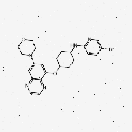 Brc1ccc(NC2CCC(Oc3cc(N4CCOCC4)cc4nccnc34)CC2)nc1